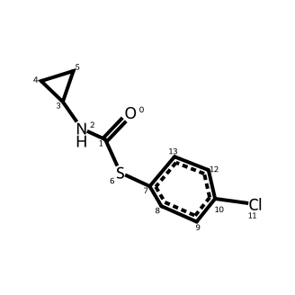 O=C(NC1CC1)Sc1ccc(Cl)cc1